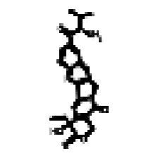 CC[C@@]1(O)C(=O)OCc2c1cc1n(c2=O)Cc2cc3cc(C(=O)[C@H](N)C(C)C)ccc3nc2-1